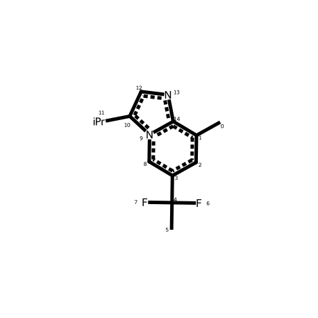 Cc1cc(C(C)(F)F)cn2c(C(C)C)cnc12